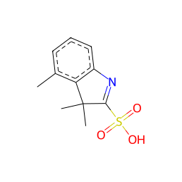 Cc1cccc2c1C(C)(C)C(S(=O)(=O)O)=N2